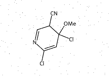 COC1(Cl)C=C(Cl)N=CC1C#N